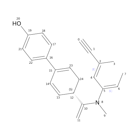 C#C/C(C)=C/C(=C\C)N(C)C(=C)[C@@H]1C=CC(c2ccc(O)cc2)=CC1